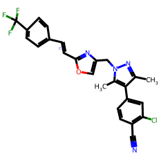 Cc1nn(Cc2coc(/C=C/c3ccc(C(F)(F)F)cc3)n2)c(C)c1-c1ccc(C#N)c(Cl)c1